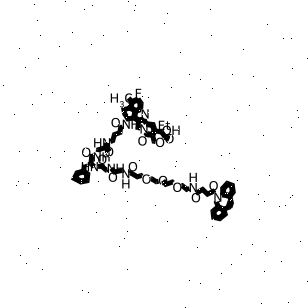 CC[C@@]1(O)C(=O)OCc2c1cc1n(c2=O)Cc2c-1nc1cc(F)c(C)c3c1c2[C@@H](NC(=O)CCCNC(=O)CNC(=O)[C@@H](Cc1ccccc1)NC(=O)CNC(=O)CNC(=O)CCOCCOCCOCCNC(=O)CCC(=O)N1Cc2ccccc2C#Cc2ccccc21)CC3